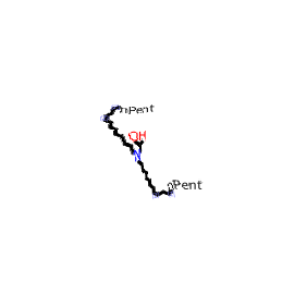 CCCCC/C=C\C/C=C\CCCCCCCCN(CCCCCCCC/C=C\C/C=C\CCCCC)CC(C)CO